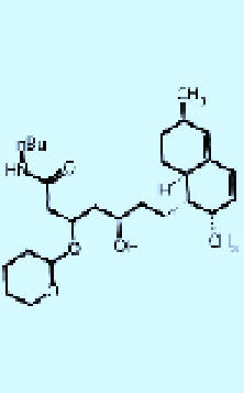 CCCCNC(=O)C[C@@H](C[C@H](O)CC[C@H]1[C@@H](C)C=CC2=C[C@H](C)CC[C@@H]21)OC1CCCCO1